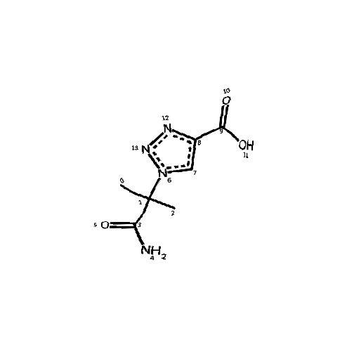 CC(C)(C(N)=O)n1cc(C(=O)O)nn1